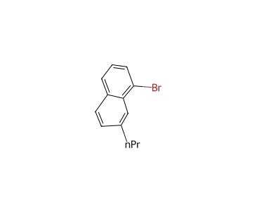 [CH2]CCc1ccc2cccc(Br)c2c1